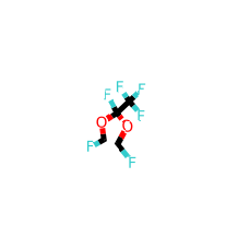 FCOC(F)(OCF)C(F)(F)F